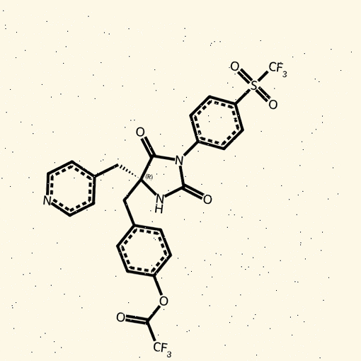 O=C1N[C@@](Cc2ccncc2)(Cc2ccc(OC(=O)C(F)(F)F)cc2)C(=O)N1c1ccc(S(=O)(=O)C(F)(F)F)cc1